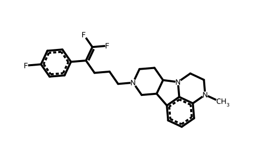 CN1CCN2c3c(cccc31)C1CN(CCCC(=C(F)F)c3ccc(F)cc3)CCC12